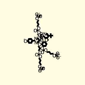 COc1ccc(-c2nc(OCC(COC(=O)OCCCCO[N+](=O)[O-])OC(=O)OCCCCO[N+](=O)[O-])c(Oc3ccccc3OC)c(N(COC(=O)OCCCCO[N+](=O)[O-])S(=O)(=O)c3ccc(C(C)(C)C)cn3)n2)cc1